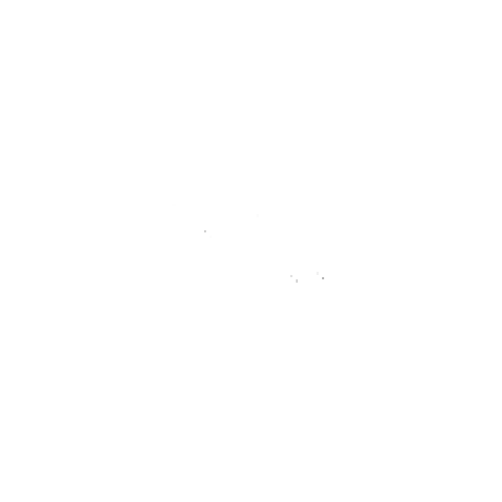 CCN1CCC(c2c(C)cnn2C)CC1